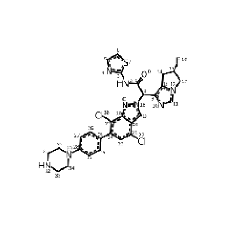 O=C(Nc1nccs1)[C@@H](c1ncn2c1C[C@@H](F)C2)n1cc2c(Cl)cc(-c3ccc(N4CCNCC4)cc3)c(Cl)c2n1